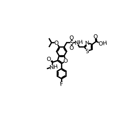 CNC(=O)c1c(-c2ccc(F)cc2)oc2cc(CS(=O)(=O)NCc3nc(C(=O)O)cs3)c(OC(C)C)cc12